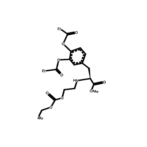 CCC(=O)Oc1ccc(C[C@H](NCCOC(=O)OCC(C)CC)C(=O)OC)cc1OC(=O)CC